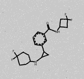 O=C(NC1CC(F)(F)C1)c1cccc(C2CC2NC2CCC(F)(F)CC2)c1